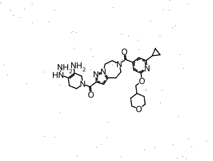 NNC1=C(N)CN(C(=O)c2cc3n(n2)CCN(C(=O)c2cc(OCC4CCOCC4)nc(C4CC4)c2)CC3)CC1